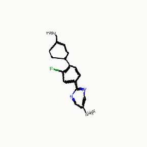 CCCCCCCc1cnc(-c2ccc(C3CCC(CCCC)CC3)c(F)c2)nc1